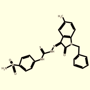 Cc1ccc2c(c1)C(=NNC(=S)Nc1ccc(S(N)(=O)=O)cc1)C(=O)N2Cc1ccccc1